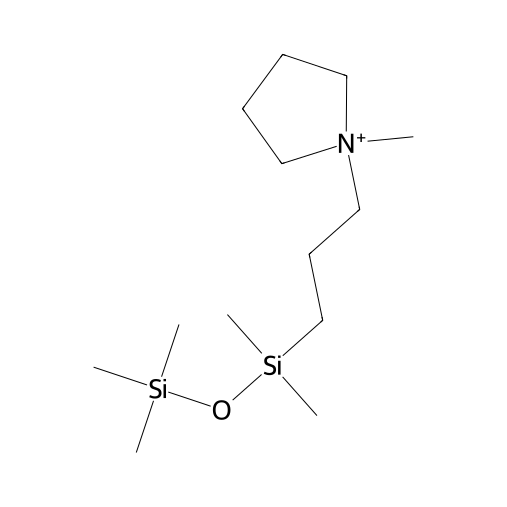 C[N+]1(CCC[Si](C)(C)O[Si](C)(C)C)CCCC1